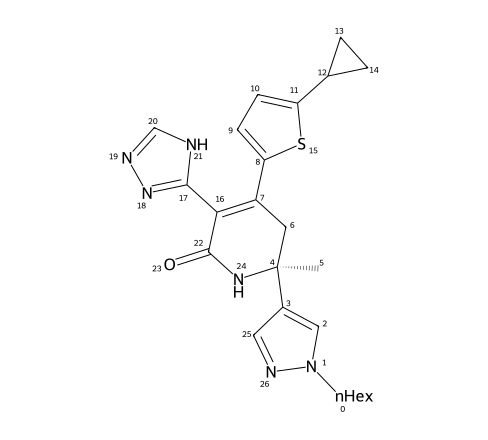 CCCCCCn1cc([C@]2(C)CC(c3ccc(C4CC4)s3)=C(c3nnc[nH]3)C(=O)N2)cn1